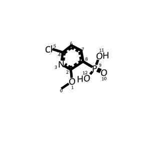 COc1nc(Cl)ccc1P(=O)(O)O